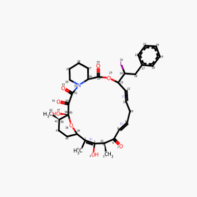 C/C1=C(\O)[C@H](C)C(=O)/C=C/C/C=C/C(C(I)Cc2ccccc2)OC(=O)C2CCCCN2C(=O)C(=O)[C@]2(O)OC1CC[C@H]2C